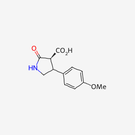 COc1ccc(C2CNC(=O)[C@H]2C(=O)O)cc1